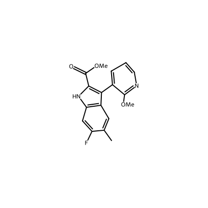 COC(=O)c1[nH]c2cc(F)c(C)cc2c1-c1cccnc1OC